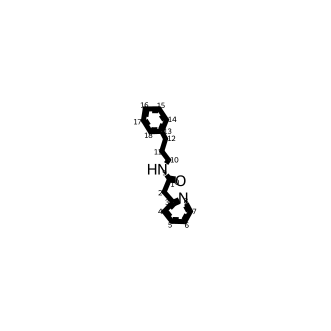 O=C(Cc1ccccn1)NCCCc1ccccc1